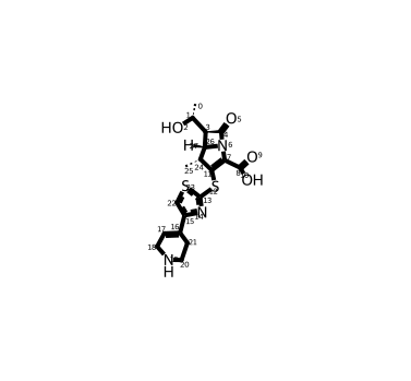 C[C@@H](O)[C@H]1C(=O)N2C(C(=O)O)=C(Sc3nc(C4=CCNCC4)cs3)[C@H](C)[C@H]12